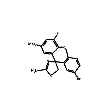 COc1cc(F)c2c(c1)C1(CSC(N)=N1)c1cc(Br)ccc1O2